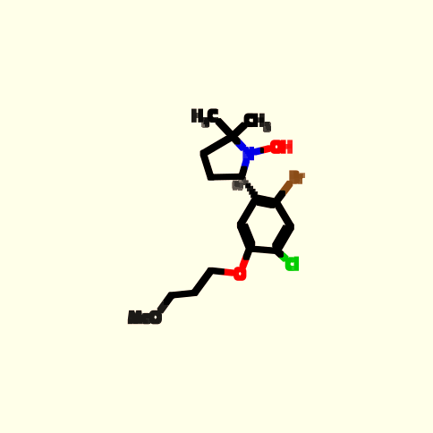 COCCCOc1cc([C@@H]2CCC(C)(C)N2O)c(Br)cc1Cl